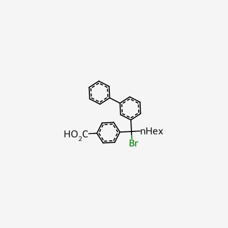 CCCCCCC(Br)(c1ccc(C(=O)O)cc1)c1cccc(-c2ccccc2)c1